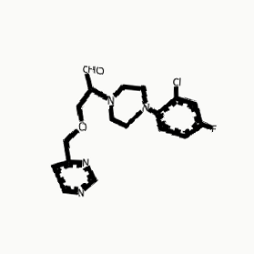 O=CC(COCc1ccncn1)N1CCN(c2ccc(F)cc2Cl)CC1